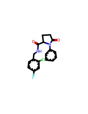 O=C(NCc1ccc(F)cc1Cl)C1CCC(=O)N1c1ccccc1